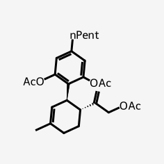 C=C(COC(C)=O)[C@@H]1CCC(C)=C[C@H]1c1c(OC(C)=O)cc(CCCCC)cc1OC(C)=O